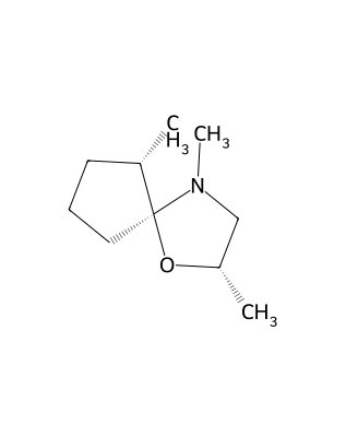 C[C@H]1CN(C)[C@@]2(CCC[C@@H]2C)O1